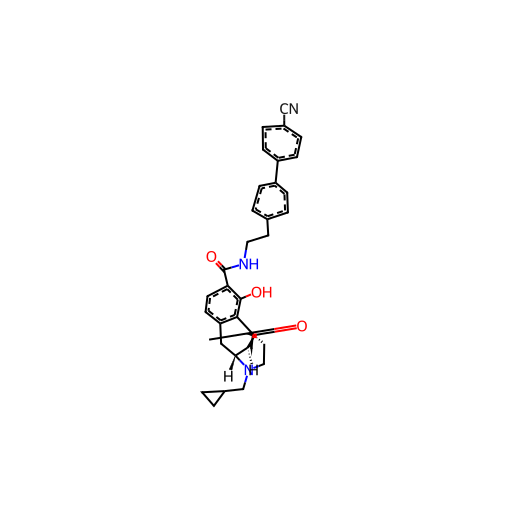 N#Cc1ccc(-c2ccc(CCNC(=O)c3ccc4c(c3O)[C@]35CCN(CC6CC6)[C@H](C4)[C@@H]3CCC(=O)C5)cc2)cc1